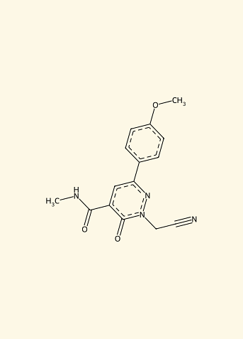 CNC(=O)c1cc(-c2ccc(OC)cc2)nn(CC#N)c1=O